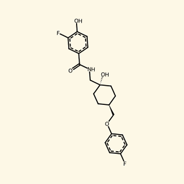 O=C(NC[C@]1(O)CC[C@H](COc2ccc(F)cc2)CC1)c1ccc(O)c(F)c1